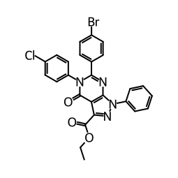 CCOC(=O)c1nn(-c2ccccc2)c2nc(-c3ccc(Br)cc3)n(-c3ccc(Cl)cc3)c(=O)c12